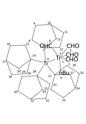 CCC[CH2][Ti]([CH]=O)([CH]=O)([CH]=O)([CH]=O)[Ti]([C]12CCC(CC1)C2)([C]12CCC(CC1)C2)([C]12CCC(CC1)C2)[C]12CCC(CC1)C2